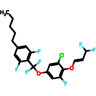 CCCCCc1cc(F)c(C(F)(F)Oc2cc(F)c(O/C=C/C(F)F)c(Cl)c2)c(F)c1